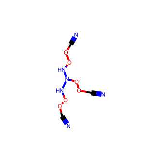 N#COONN(NOOC#N)OOC#N